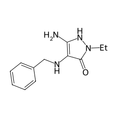 CCn1[nH]c(N)c(NCc2ccccc2)c1=O